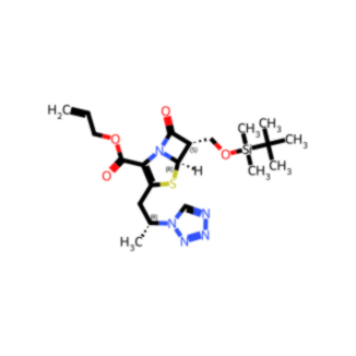 C=CCOC(=O)C1=C(C[C@@H](C)n2cnnn2)S[C@@H]2[C@@H](CO[Si](C)(C)C(C)(C)C)C(=O)N12